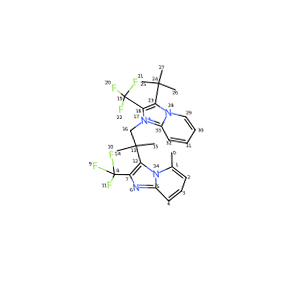 Cc1cccc2nc(C(F)(F)F)c(C(C)(C)C[n+]3c(C(F)(F)F)c(C(C)(C)C)n4ccccc43)n12